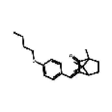 CCCCOc1ccc(/C=C2\C(=O)C3(C)CCC2C3(C)C)cc1